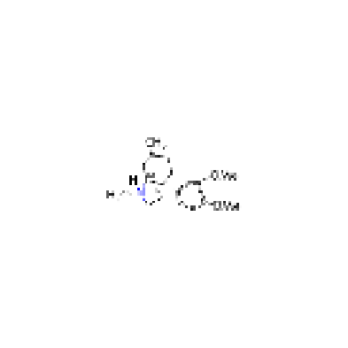 C=C1CC[C@@]2(c3ccc(OC)c(OC)c3)CCN(C)[C@H]2C1